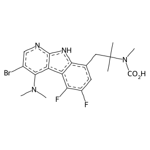 CN(C)c1c(Br)cnc2[nH]c3c(CC(C)(C)N(C)C(=O)O)cc(F)c(F)c3c12